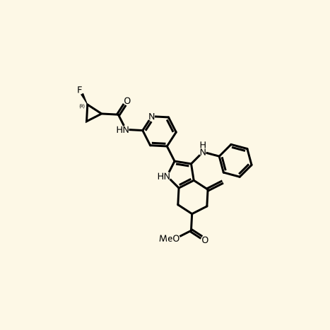 C=C1CC(C(=O)OC)Cc2[nH]c(-c3ccnc(NC(=O)C4C[C@H]4F)c3)c(Nc3ccccc3)c21